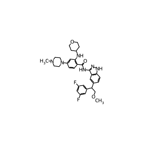 COCC(c1cc(F)cc(F)c1)c1ccc2[nH]nc(NC(=O)c3ccc(N4CCN(C)CC4)cc3NC3CCOCC3)c2c1